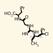 C/C=C(\C=C(\Cl)C(C)C)NC(=N)NCC(=O)NC(CC(C)C)C(=O)O